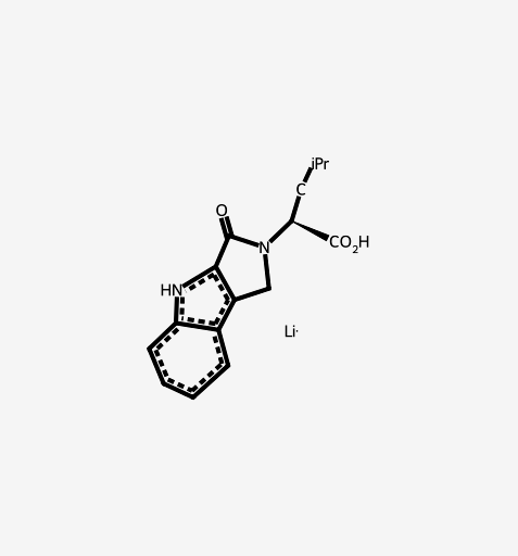 CC(C)C[C@@H](C(=O)O)N1Cc2c([nH]c3ccccc23)C1=O.[Li]